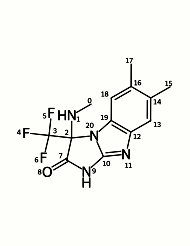 CNC1(C(F)(F)F)C(=O)Nc2nc3cc(C)c(C)cc3n21